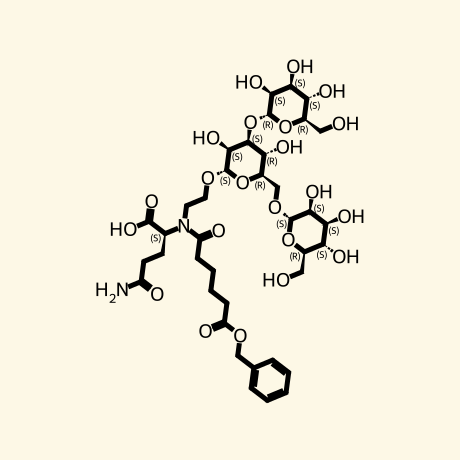 NC(=O)CC[C@@H](C(=O)O)N(CCO[C@H]1O[C@H](CO[C@H]2O[C@H](CO)[C@@H](O)[C@H](O)[C@@H]2O)[C@@H](O)[C@H](O[C@H]2O[C@H](CO)[C@@H](O)[C@H](O)[C@@H]2O)[C@@H]1O)C(=O)CCCCC(=O)OCc1ccccc1